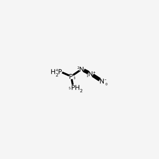 [N-]=[N+]=NP(P)P